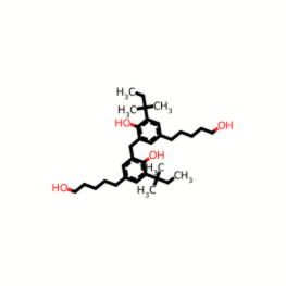 CCC(C)(C)c1cc(CCCCCO)cc(Cc2cc(CCCCCO)cc(C(C)(C)CC)c2O)c1O